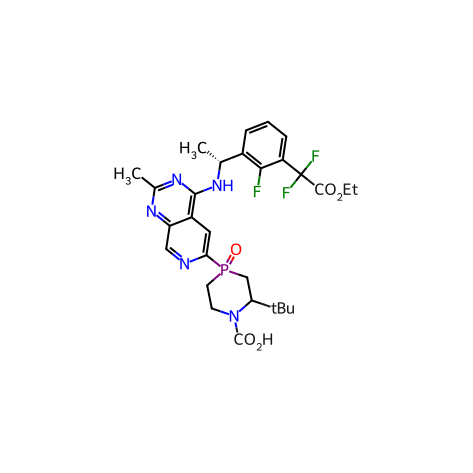 CCOC(=O)C(F)(F)c1cccc([C@@H](C)Nc2nc(C)nc3cnc(P4(=O)CCN(C(=O)O)C(C(C)(C)C)C4)cc23)c1F